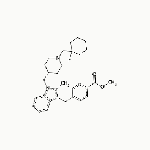 COC(=O)c1ccc(Cc2c(C)n(CC3CCN(CC4(F)CCCCC4)CC3)c3ccccc23)cc1